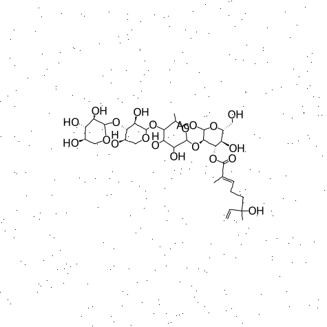 C=CC(C)(O)CC/C=C(\C)C(=O)O[C@H]1[C@H](O)[C@@H](CO)OC(OC(C)=O)[C@@H]1OC1OC(C)C(OC2OC[C@@H](O)[C@H](OC3OC[C@@H](O)[C@H](O)[C@H]3O)[C@H]2O)C(O)C1O